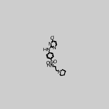 O=S(=O)(NCCN1CCCC1)c1ccc(Nc2nccc(Cl)n2)cc1